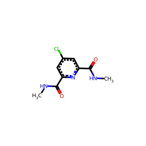 CNC(=O)c1cc(Cl)cc(C(=O)NC)n1